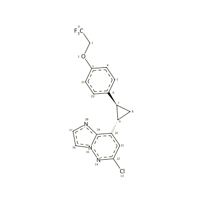 FC(F)(F)COc1ccc([C@H]2C[C@@H]2c2cc(Cl)nn3ccnc23)cc1